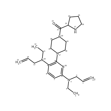 C=CCN(CC)c1ccc(N(CC)CC=C)c(N2CCN(C(=O)C3CCCN3)CC2)n1